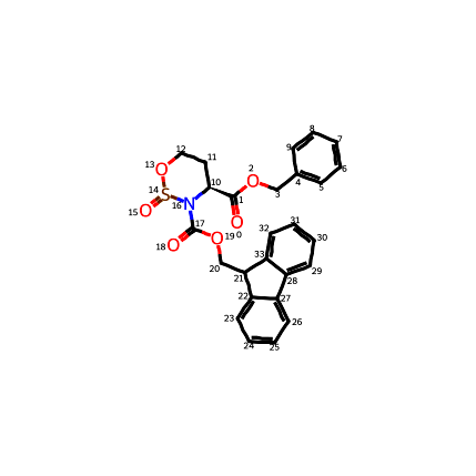 O=C(OCc1ccccc1)[C@@H]1CCOS(=O)N1C(=O)OCC1c2ccccc2-c2ccccc21